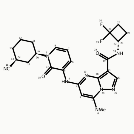 CNc1cc(Nc2cccn([C@@H]3CCC[C@H](C#N)C3)c2=O)nc2c(C(=O)N[C@H]3CCC3(F)F)cnn12